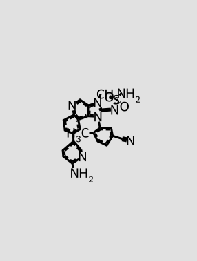 Cc1ccc(C#N)cc1-n1/c(=N/S(N)(=O)=O)n(C)c2cnc3ccc(-c4ccc(N)nc4)cc3c21